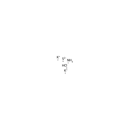 Cl.N.[K+].[K+].[S-2]